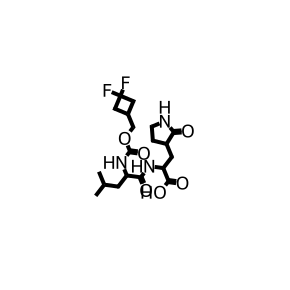 CC(C)CC(NC(=O)OCC1CC(F)(F)C1)C(=O)NC(CC1CCNC1=O)C(=O)O